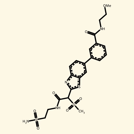 COCCNC(=O)c1cccc(-c2ccc3nc(C(C(=O)NCCS(N)(=O)=O)S(C)(=O)=O)sc3c2)c1